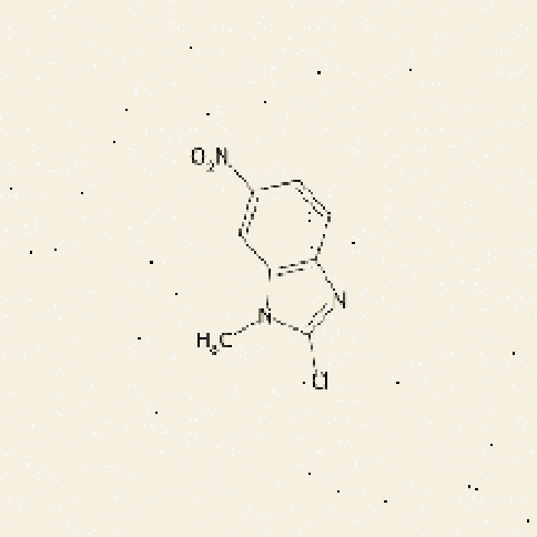 Cn1c(Cl)nc2ccc([N+](=O)[O-])cc21